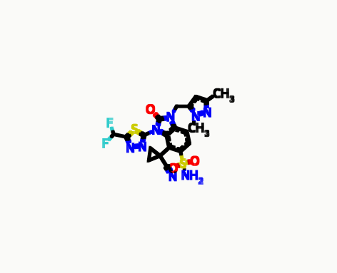 Cc1cc(Cn2c(=O)n(-c3nnc(C(F)F)s3)c3c(C4(C#N)CC4)c(S(N)(=O)=O)ccc32)n(C)n1